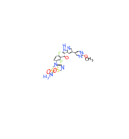 COc1ncc(-c2cnc3[nH]cc(C(=O)c4c(F)ccc(N(CS(N)(=O)=O)c5cncs5)c4F)c3c2)cn1